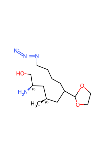 C[C@H](CC(CCCCN=[N+]=[N-])C1OCCO1)C[C@@H](N)CO